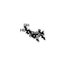 CCCc1nc(C)c2c(=O)[nH]c(-c3cc(S(=O)(=O)N4CCC([C@H](O)CCO)CC4)ccc3OCC)nn12